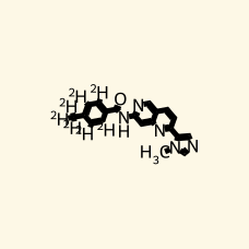 [2H]c1c([2H])c(C([2H])([2H])[2H])c([2H])c([2H])c1C(=O)Nc1cc2nc(-c3cncn3C)ccc2cn1